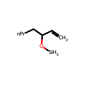 C=CC(CCCC)O[SiH3]